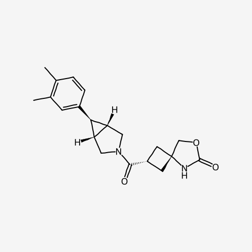 Cc1ccc([C@H]2[C@@H]3CN(C(=O)[C@H]4C[C@]5(COC(=O)N5)C4)C[C@@H]32)cc1C